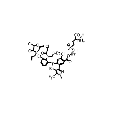 C=CCN(CC=C)C(=O)C(Cl)Cl.CC(C)OC(=O)c1cc(-c2nn(C)c(C(F)(F)F)c2Br)c(F)cc1Cl.CCOCN(C(=O)CCl)c1c(C)cccc1CC.CP(=O)(O)CCC(N)C(=O)O